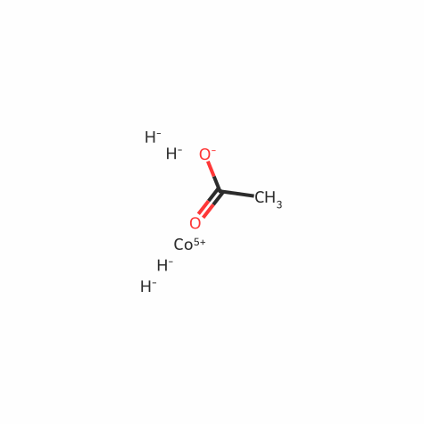 CC(=O)[O-].[Co+5].[H-].[H-].[H-].[H-]